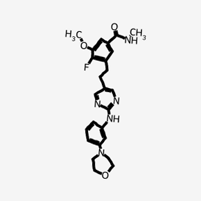 CNC(=O)c1cc(CCc2cnc(Nc3cccc(N4CCOCC4)c3)nc2)c(F)c(OC)c1